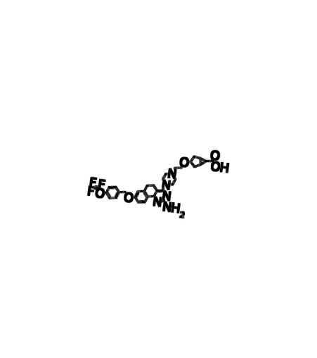 Nc1nc2c(c(N3CCN(CCOC4CC5C(C4)C5C(=O)O)CC3)n1)CCc1cc(OCc3ccc(OC(F)(F)F)cc3)ccc1-2